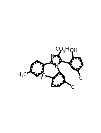 Cc1ccc(-c2nc(C(=O)O)c(-c3cc(Cl)ccc3O)n2-c2cc(Cl)ccc2C)cc1